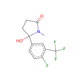 CN1C(=O)CCC1(O)c1ccc(F)c(C(F)(F)F)c1